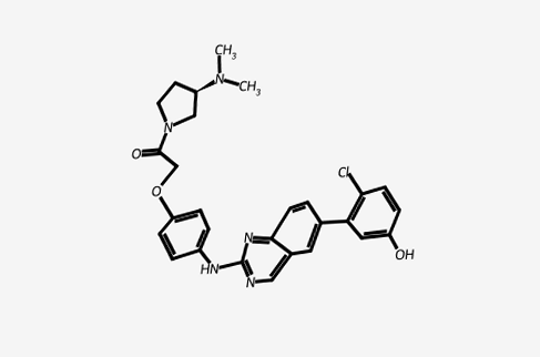 CN(C)[C@@H]1CCN(C(=O)COc2ccc(Nc3ncc4cc(-c5cc(O)ccc5Cl)ccc4n3)cc2)C1